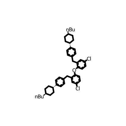 CCCC[C@H]1CC[C@H](c2ccc(Cc3cc(Cl)ccc3Oc3ccc(Cl)cc3Cc3ccc([C@H]4CC[C@H](CCCC)CC4)cc3)cc2)CC1